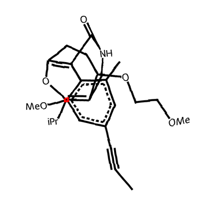 CC#Cc1cc(C)c(/C2=C3/CCC(OCCOC)C(=C(C(C)C)O3)CNC2=O)c(OC)c1